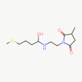 CSCCCC(O)NCCN1C(=O)CC(C)C1=O